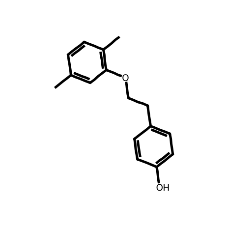 Cc1ccc(C)c(OCCc2ccc(O)cc2)c1